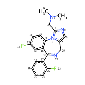 CN(C)Cc1ncc2n1-c1ccc(F)cc1C(c1ccccc1F)=NC2